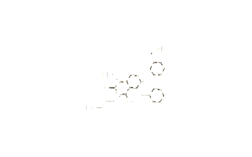 C=Cc1cccc(Oc2ccc3c(c2Cc2ccccc2)c(=O)n(CCCO)c(=O)n3C)c1